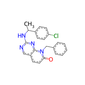 CC(Nc1ncc2ccc(=O)n(Cc3ccccc3)c2n1)c1ccc(Cl)cc1